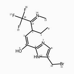 CCC(/C=C(/O)c1ncc(CBr)[nH]1)/C(=N\C)C(F)(F)F